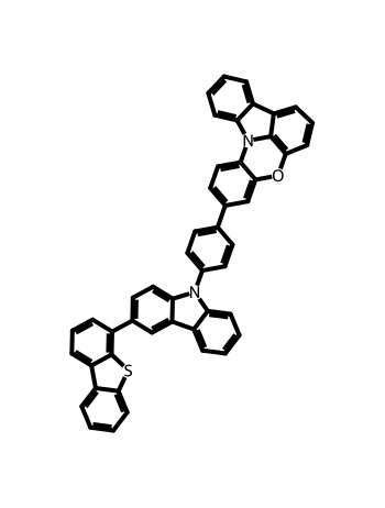 c1ccc2c(c1)sc1c(-c3ccc4c(c3)c3ccccc3n4-c3ccc(-c4ccc5c(c4)Oc4cccc6c7ccccc7n-5c46)cc3)cccc12